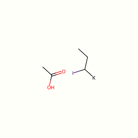 CC(=O)O.CC[CH]([K])I